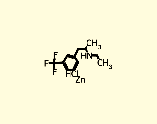 CCNC(C)Cc1cccc(C(F)(F)F)c1.Cl.[Zn]